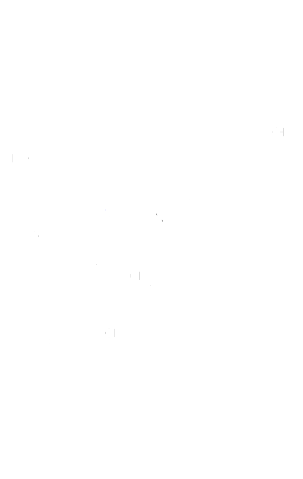 C=C(CC(C)C)/C(=C\Nc1ccc(O)cc1)C(=O)CC